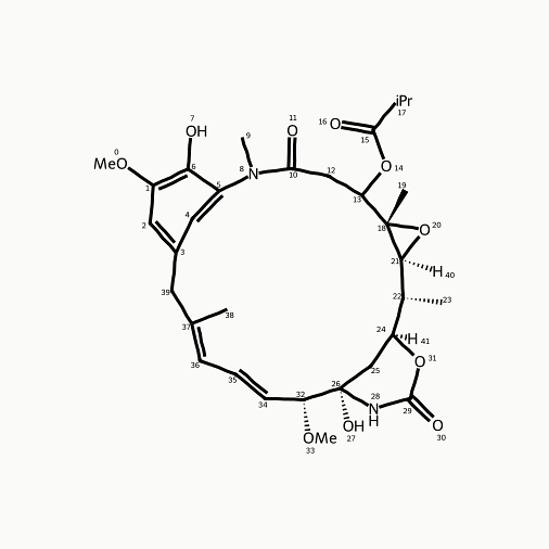 COc1cc2cc(c1O)N(C)C(=O)CC(OC(=O)C(C)C)[C@]1(C)O[C@H]1[C@H](C)[C@@H]1C[C@@](O)(NC(=O)O1)[C@H](OC)/C=C/C=C(\C)C2